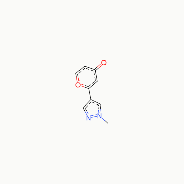 Cn1cc(-c2cc(=O)cco2)cn1